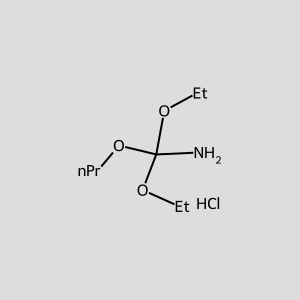 CCCOC(N)(OCC)OCC.Cl